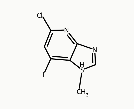 C[SH]1C=Nc2nc(Cl)cc(I)c21